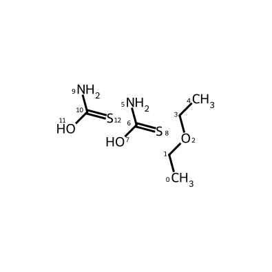 CCOCC.NC(O)=S.NC(O)=S